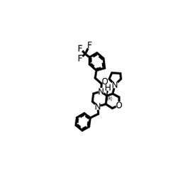 O=C(Cc1cccc(C(F)(F)F)c1)N1CCN(Cc2ccccc2)C2COCC(N3CCCC3)[C@H]21